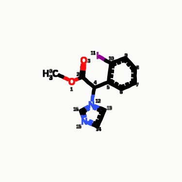 COC(=O)C(c1ccccc1I)n1ccnc1